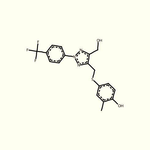 Cc1cc(SCc2nn(-c3ccc(C(F)(F)F)cc3)nc2CO)ccc1O